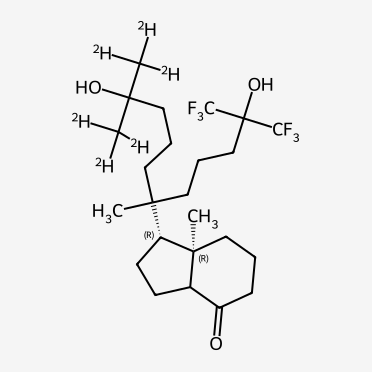 [2H]C([2H])([2H])C(O)(CCCC(C)(CCCC(O)(C(F)(F)F)C(F)(F)F)[C@H]1CCC2C(=O)CCC[C@@]21C)C([2H])([2H])[2H]